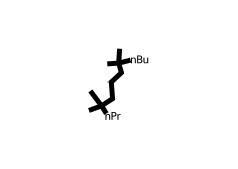 CCCCC(C)(C)C[CH]CC(C)(C)CCC